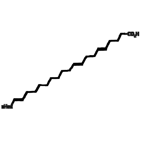 CCCCCCC=CCCCCCCCCC=CCCC=CCCCC(=O)O